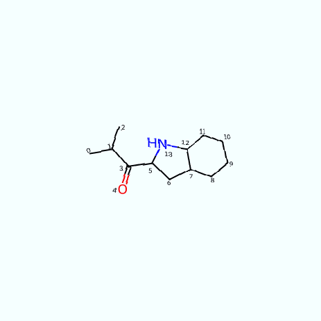 CC(C)C(=O)C1CC2CCCCC2N1